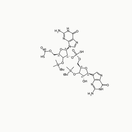 CC(C)(C)[Si](C)(C)OC1[C@@H](O)[C@H](n2cnc3c(=O)[nH]c(N)nc32)O[C@@H]1COP(=O)(S)O[C@@H]1C(O[Si](C)(C)C(C)(C)C)[C@@H](CO[PH](=O)S)O[C@H]1n1cnc2c(=O)[nH]c(N)nc21